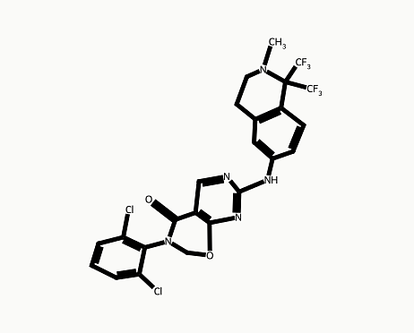 CN1CCc2cc(Nc3ncc4c(n3)OCN(c3c(Cl)cccc3Cl)C4=O)ccc2C1(C(F)(F)F)C(F)(F)F